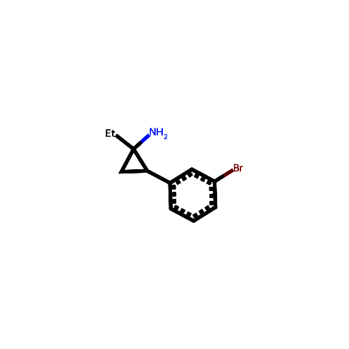 CCC1(N)CC1c1cccc(Br)c1